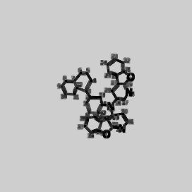 c1cc(-c2cccc3ccccc23)cc(N(c2cnc3oc4ccccc4c3c2)c2ccnc3oc4ccccc4c23)c1